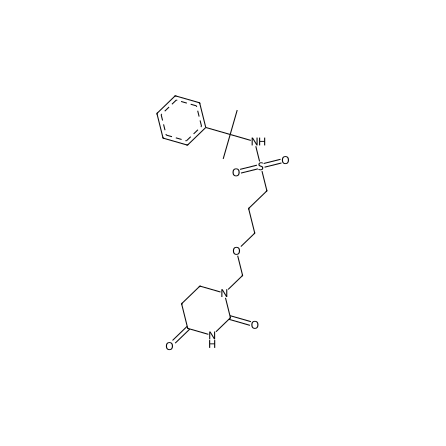 CC(C)(NS(=O)(=O)CCCOCN1CCC(=O)NC1=O)c1ccccc1